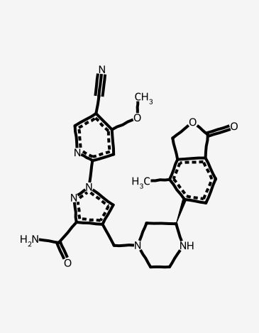 COc1cc(-n2cc(CN3CCN[C@H](c4ccc5c(c4C)COC5=O)C3)c(C(N)=O)n2)ncc1C#N